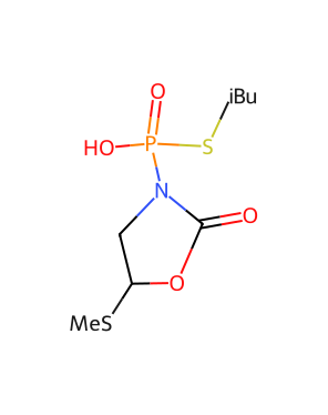 CCC(C)SP(=O)(O)N1CC(SC)OC1=O